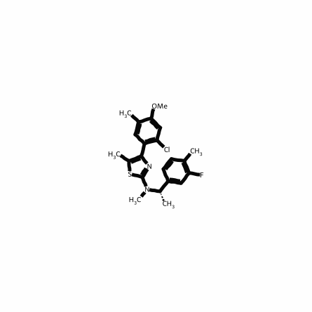 COc1cc(Cl)c(-c2nc(N(C)[C@@H](C)c3ccc(C)c(F)c3)sc2C)cc1C